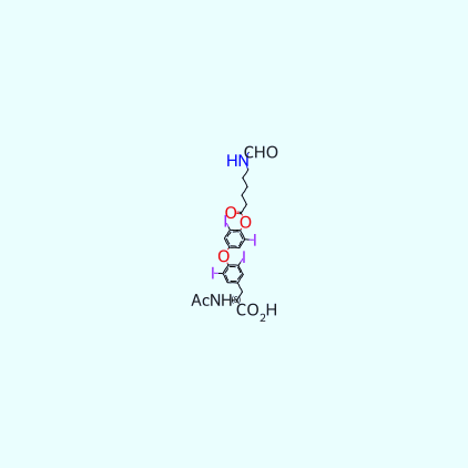 CC(=O)N[C@@H](Cc1cc(I)c(Oc2cc(I)c(OC(=O)CCCCCNC=O)c(I)c2)c(I)c1)C(=O)O